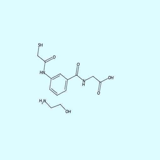 NCCO.O=C(O)CNC(=O)c1cccc(NC(=O)CS)c1